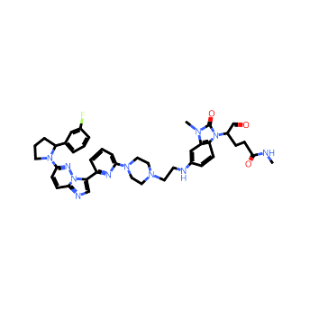 CNC(=O)CCC(C=O)n1c(=O)n(C)c2cc(NCCN3CCN(c4cccc(-c5cnc6ccc(N7CCCC7c7cccc(F)c7)nn56)n4)CC3)ccc21